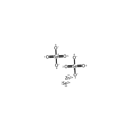 O=[Se](=O)([O-])[O-].O=[Se](=O)([O-])[O-].[Se+2].[Zn+2]